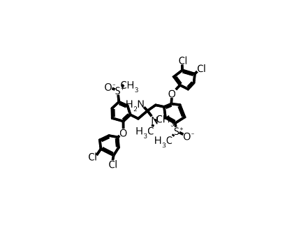 CN(C)C(N)(Cc1cc([S+](C)[O-])ccc1Oc1ccc(Cl)c(Cl)c1)Cc1cc([S+](C)[O-])ccc1Oc1ccc(Cl)c(Cl)c1